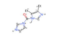 CCC1=C(CC)[N+](C)(C(=O)n2ccnc2)C=N1